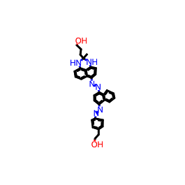 CC1(CCCO)Nc2cccc3c(N=Nc4ccc(N=Nc5ccc(CCO)cc5)c5ccccc45)ccc(c23)N1